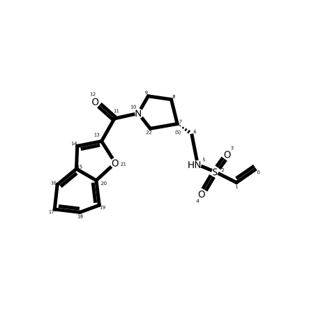 C=CS(=O)(=O)NC[C@H]1CCN(C(=O)c2cc3ccccc3o2)C1